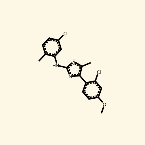 COc1ccc(-c2nc(Nc3cc(Cl)ccc3C)sc2C)c(Cl)c1